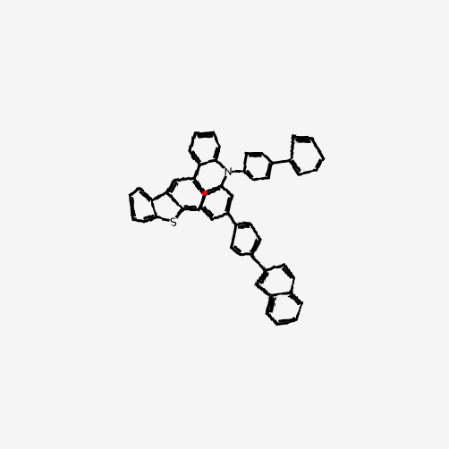 c1ccc(-c2ccc(N(c3cccc(-c4ccc(-c5ccc6ccccc6c5)cc4)c3)c3ccccc3-c3ccc4sc5ccccc5c4c3)cc2)cc1